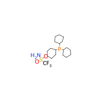 C1CCC(P(C2CCCCC2)C2CCCCC2)CC1.NS(=O)(=O)C(F)(F)F